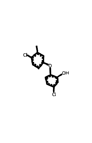 Cc1cc(Oc2ccc(Cl)cc2O)ccc1Cl